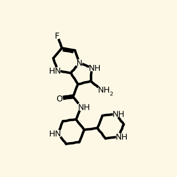 NC1NN2C=C(F)CNC2C1C(=O)NC1CNCCC1C1CNCNC1